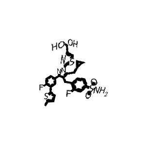 Cc1ccc(-c2cc(-c3nn(-c4nc(C(O)O)cs4)c(CC4CC4)c3Cc3ccc(S(N)(=O)=O)cc3F)ccc2F)s1